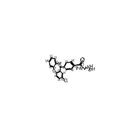 O=C(NNO)c1ccc(C2=Nc3ccccc3Oc3ccc(Cl)cc32)cc1